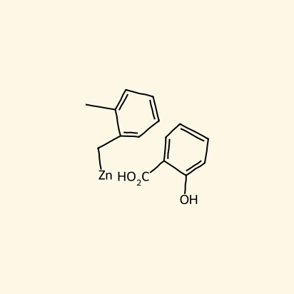 Cc1ccccc1[CH2][Zn].O=C(O)c1ccccc1O